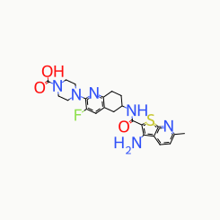 Cc1ccc2c(N)c(C(=O)NC3CCc4nc(N5CCN(C(=O)O)CC5)c(F)cc4C3)sc2n1